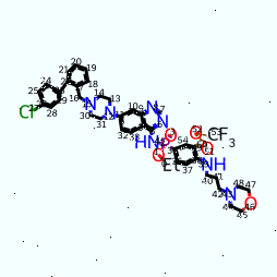 CCOP(=O)(Nc1ncnc2cc(N3CCN(Cc4ccccc4-c4ccc(Cl)cc4)CC3)ccc12)c1ccc(NCCCN2CCOCC2)c(S(=O)(=O)C(F)(F)F)c1